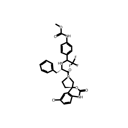 COC(=O)Nc1ccc(C(N[C@@H](Cc2ccccc2)C(=O)N2CC[C@@]3(C2)OC(=O)Nc2ccc(Cl)cc23)C(F)(F)F)cc1